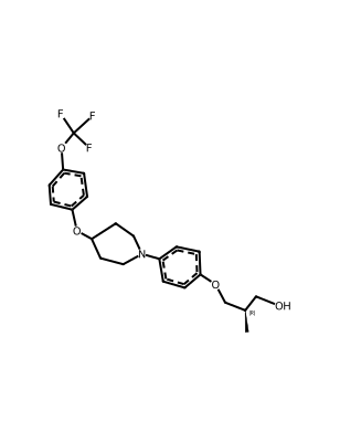 C[C@H](CO)COc1ccc(N2CCC(Oc3ccc(OC(F)(F)F)cc3)CC2)cc1